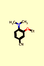 CCOc1cc(C#N)ccc1N(C)C